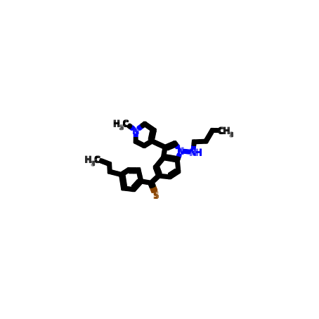 CCCCNn1cc(C2=CCN(C)CC2)c2cc(C(=S)c3ccc(CCC)cc3)ccc21